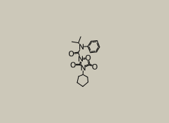 CC(C)N(C(=O)n1oc(=O)n(C2CCCCC2)c1=O)c1ccccc1